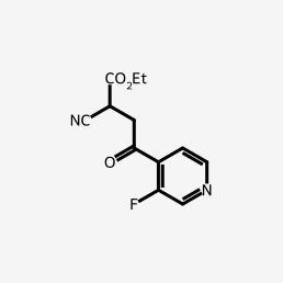 CCOC(=O)C(C#N)CC(=O)c1ccncc1F